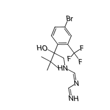 CC(C)(C)C(O)(CN/C=N\C=N)c1ccc(Br)cc1C(F)(F)F